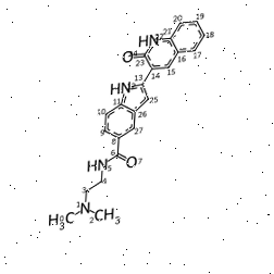 CN(C)CCNC(=O)c1ccc2[nH]c(-c3cc4ccccc4[nH]c3=O)cc2c1